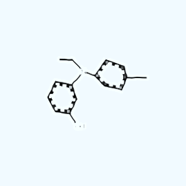 CCN(c1ccc(C)cc1)c1cccc(O)c1